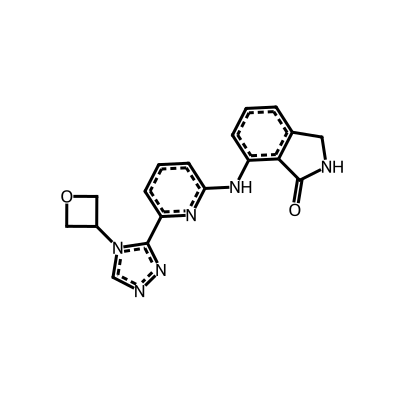 O=C1NCc2cccc(Nc3cccc(-c4nncn4C4COC4)n3)c21